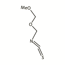 COCOCN=C=S